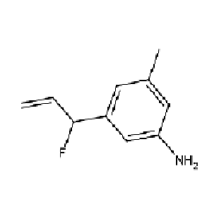 C=CC(F)c1cc(C)cc(N)c1